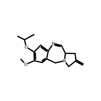 C=C1CC2C=Nc3cc(OC(C)C)c(OC)cc3CN2C1